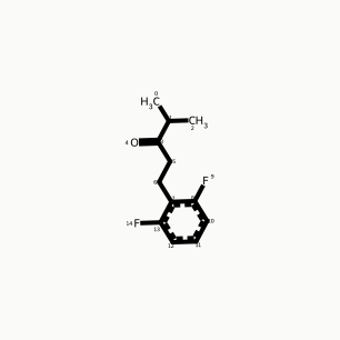 CC(C)C(=O)CCc1c(F)cccc1F